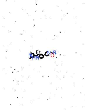 CCc1c(-c2cc(C)nc(C)c2)[nH]c2ccc(C3CCN(CC(=O)N(C)C)CC3)cc12